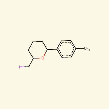 FC(F)(F)c1ccc(C2CCCC(CI)O2)cc1